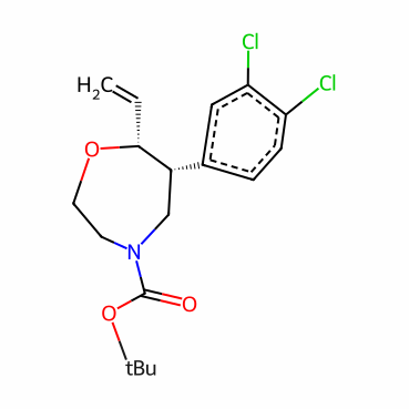 C=C[C@H]1OCCN(C(=O)OC(C)(C)C)C[C@H]1c1ccc(Cl)c(Cl)c1